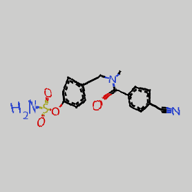 CN(Cc1ccc(OS(N)(=O)=O)cc1)C(=O)c1ccc(C#N)cc1